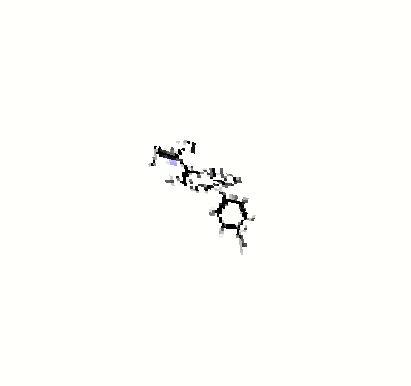 C/N=C(/Cl)C(=N)NS(=O)(=O)c1ccc(F)cc1